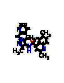 Cc1ccc2nc(C)cc(C(=O)Nc3c(C)nn(Cc4ccccn4)c3C)c2c1